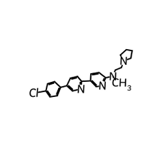 CN(CCN1CCCC1)c1ccc(-c2ccc(-c3ccc(Cl)cc3)cn2)cn1